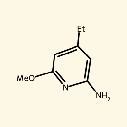 CCc1cc(N)nc(OC)c1